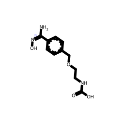 N/C(=N/O)c1ccc(COCCNC(=O)O)cc1